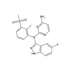 Cc1c(N(c2nccc(N)n2)c2n[nH]c3ccc(F)cc23)cccc1S(C)(=O)=O